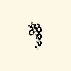 CN(C)[C@@H]1CCN(c2ccc(-c3ccc4nnc5c(c4c3)n([C@@H]3CCCOC3)c(=O)n5C)cn2)C1